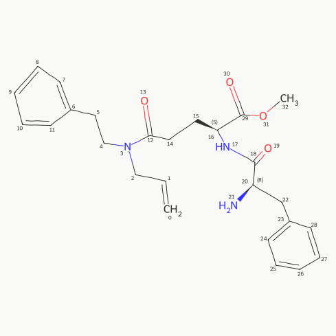 C=CCN(CCc1ccccc1)C(=O)CC[C@H](NC(=O)[C@H](N)Cc1ccccc1)C(=O)OC